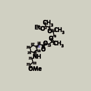 CCOC(C)COC(C)COC(C)COC(=O)/C=C1\C=C(NCCCOC)CCC1